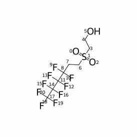 O=S(=O)(CCO)CCC(F)(F)C(F)(F)C(F)(F)C(F)(F)F